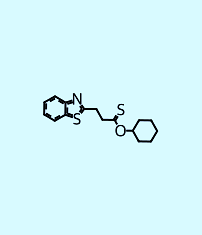 S=C(CCc1nc2ccccc2s1)OC1CCCCC1